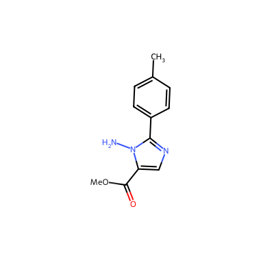 COC(=O)c1cnc(-c2ccc(C)cc2)n1N